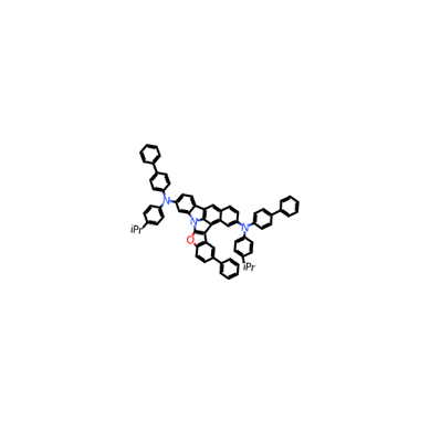 CC(C)c1ccc(N(c2ccc(-c3ccccc3)cc2)c2ccc3cc4c5ccc(N(c6ccc(-c7ccccc7)cc6)c6ccc(C(C)C)cc6)cc5n5c6oc7ccc(-c8ccccc8)cc7c6c(c3c2)c45)cc1